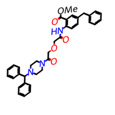 COC(=O)c1cc(Cc2ccccc2)ccc1NC(=O)COCC(=O)N1CCN(C(c2ccccc2)c2ccccc2)CC1